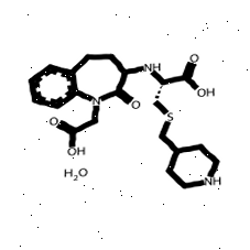 O.O=C(O)CN1C(=O)C(N[C@@H](CSCC2CCNCC2)C(=O)O)CCc2ccccc21